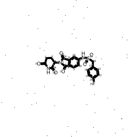 O=C1CCC(N2C(=O)c3ccc(NS(=O)(=O)Cc4ccc(F)cc4)cc3C2=O)C(=O)N1